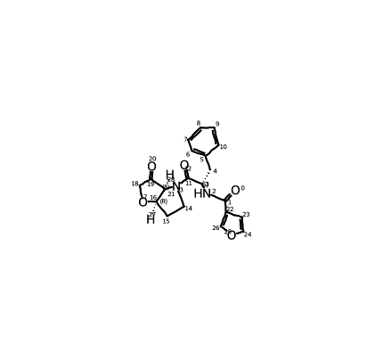 O=C(N[C@@H](Cc1ccccc1)C(=O)N1CC[C@H]2OCC(=O)[C@H]21)c1ccoc1